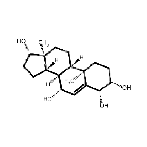 C[C@]12CC[C@H]3[C@@H]([C@@H](O)C=C4[C@@H](O)[C@@H](O)CC[C@@]43C)[C@@H]1CC[C@@H]2O